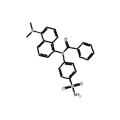 CN(C)c1cccc2c(N(C(=O)c3ccccc3)c3ccc(S(N)(=O)=O)cc3)cccc12